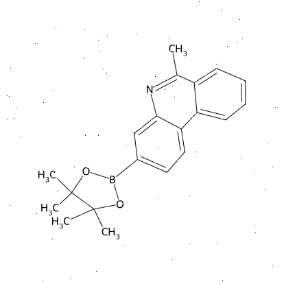 Cc1nc2cc(B3OC(C)(C)C(C)(C)O3)ccc2c2ccccc12